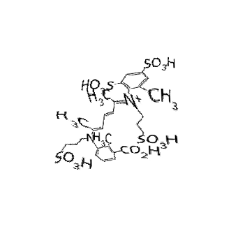 C\C(=C/C=C/C(C)=[N+](\CCCS(=O)(=O)O)c1c(C)cc(S(=O)(=O)O)cc1S(=O)(=O)O)N(CCCS(=O)(=O)O)c1cccc(C(=O)O)c1C